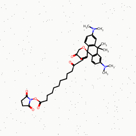 CN(C)c1ccc2c(c1)C(C)(C)c1cc(N(C)C)ccc1C21OCC(=O)c2c(C(=O)CCCCCCCCCC(=O)ON3C(=O)CCC3=O)cccc21